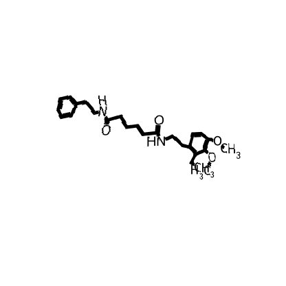 CCc1c(CCNC(=O)CCCCC(=O)NCCc2ccccc2)ccc(OC)c1OC